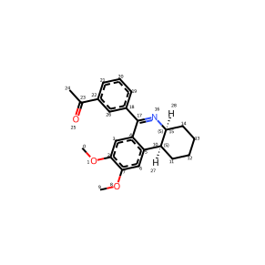 COc1cc2c(cc1OC)[C@@H]1CCCC[C@@H]1N=C2c1cccc(C(C)=O)c1